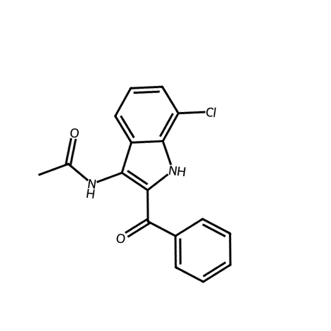 CC(=O)Nc1c(C(=O)c2ccccc2)[nH]c2c(Cl)cccc12